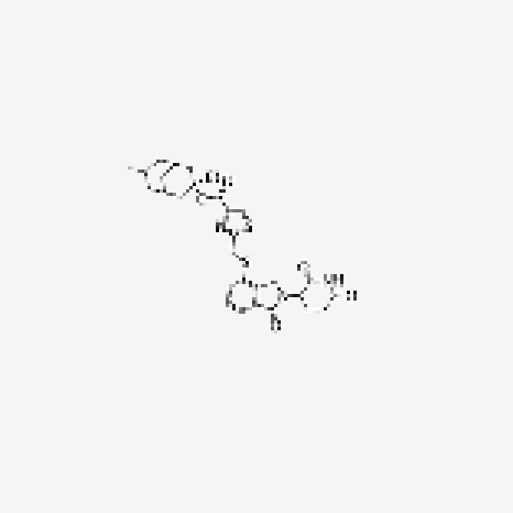 CCC1(OC(=O)c2csc(CSc3cccc4c3CN(C3CCC(=O)NC3=O)C4=O)n2)CC2CC(C)CC(C2)C1